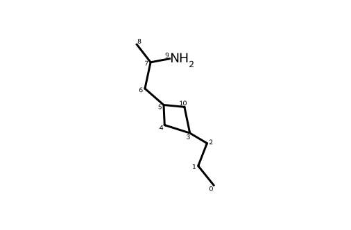 CCCC1CC(CC(C)N)C1